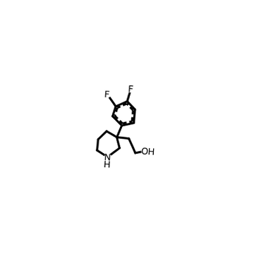 OCCC1(c2ccc(F)c(F)c2)CCCNC1